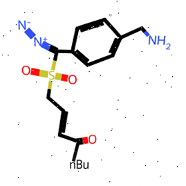 CCCCC(=O)C=CCS(=O)(=O)C(=[N+]=[N-])c1ccc(CN)cc1